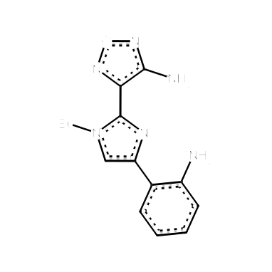 CCn1cc(-c2ccccc2N)nc1-c1nonc1N